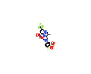 CC(C)C1CN(c2ccc(F)c(S(C)(=O)=O)c2)CCN1c1ncc(C(F)(F)F)cc1[N+](=O)[O-]